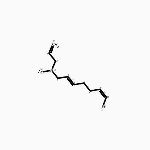 C=CCN(C/C=C/CC/C=C\CC)C(C)=O